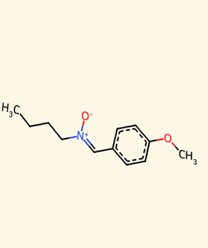 CCCC[N+]([O-])=Cc1ccc(OC)cc1